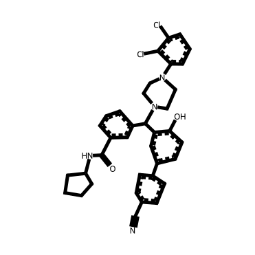 N#Cc1ccc(-c2ccc(O)c(C(c3cccc(C(=O)NC4CCCC4)c3)N3CCN(c4cccc(Cl)c4Cl)CC3)c2)cc1